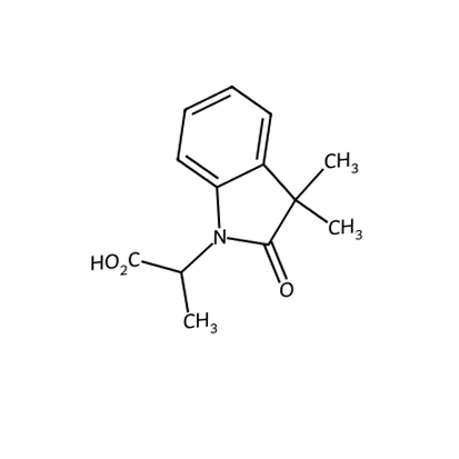 CC(C(=O)O)N1C(=O)C(C)(C)c2ccccc21